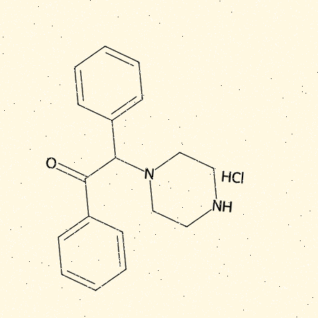 Cl.O=C(c1ccccc1)C(c1ccccc1)N1CCNCC1